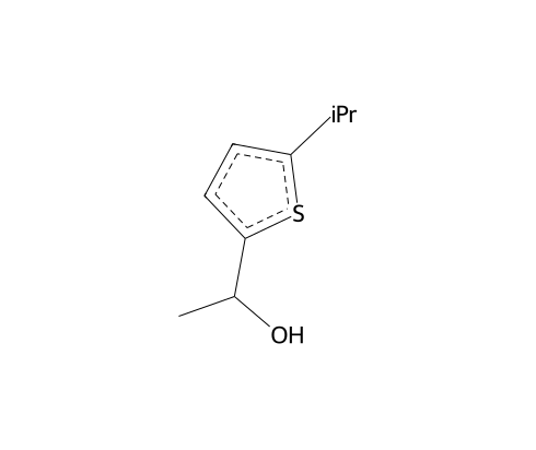 CC(C)c1ccc(C(C)O)s1